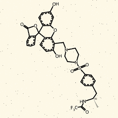 C[C@@H](Cc1ccc(S(=O)(=O)N2CCN(Cc3c(O)ccc4c3Oc3cc(O)ccc3C43OC(=O)c4ccccc43)CC2)cc1)NC(=O)C(F)(F)F